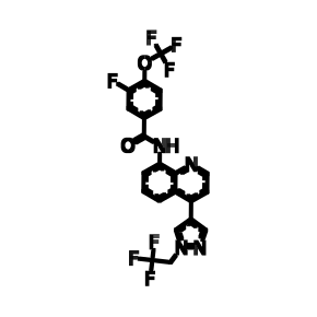 O=C(Nc1cccc2c(-c3cnn(CC(F)(F)F)c3)ccnc12)c1ccc(OC(F)(F)F)c(F)c1